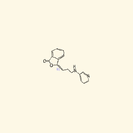 O=C1O/C(=C/CCNc2cccnc2)c2ccccc21